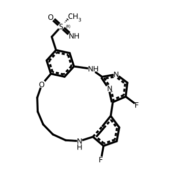 C[S@@](=N)(=O)Cc1cc2cc(c1)OCCCCCNc1cc(ccc1F)-c1nc(ncc1F)N2